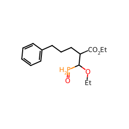 CCOC(=O)C(CCCc1ccccc1)C(OCC)[PH2]=O